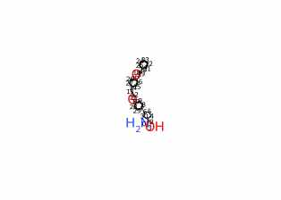 N[C@@]1(CO)CC[C@@H](c2ccc(OCCc3ccc(OCc4ccccc4)cc3)cc2)C1